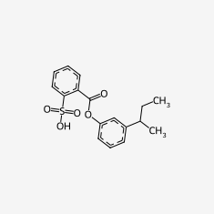 CCC(C)c1cccc(OC(=O)c2ccccc2S(=O)(=O)O)c1